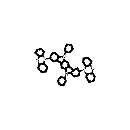 c1ccc(-n2c3ccc(N4c5ccccc5Oc5ccccc54)cc3c3cc4c(cc32)c2cc(N3c5ccccc5Oc5ccccc53)ccc2n4-c2ccccc2)cc1